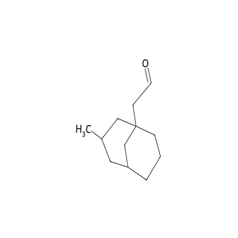 CC1CC2CCCC(CC=O)(C1)C2